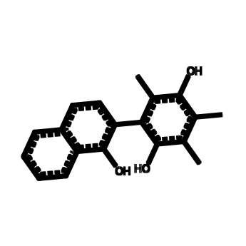 Cc1c(C)c(O)c(-c2ccc3ccccc3c2O)c(C)c1O